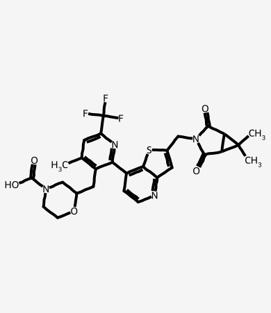 Cc1cc(C(F)(F)F)nc(-c2ccnc3cc(CN4C(=O)C5C(C4=O)C5(C)C)sc23)c1CC1CN(C(=O)O)CCO1